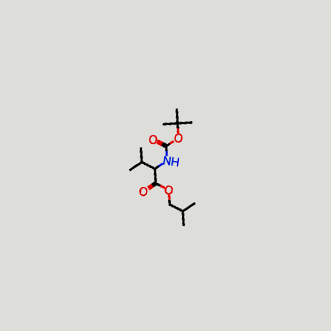 CC(C)COC(=O)C(NC(=O)OC(C)(C)C)C(C)C